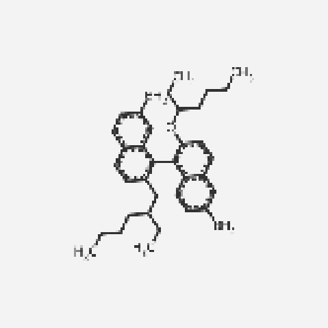 Bc1ccc2c(-c3c(CC(CC)CCCC)ccc4ccc(B)cc34)c(OC(CC)CCCC)ccc2c1